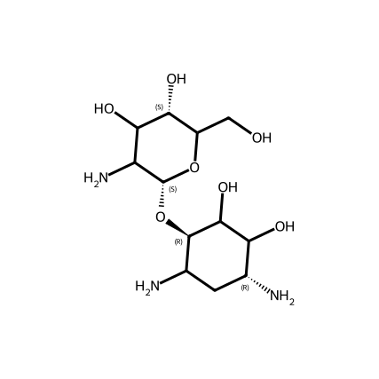 NC1C(O)[C@H](O)C(CO)O[C@@H]1O[C@@H]1C(N)C[C@@H](N)C(O)C1O